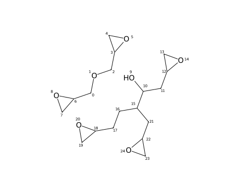 C(OCC1CO1)C1CO1.OC(CC1CO1)C(CCC1CO1)CC1CO1